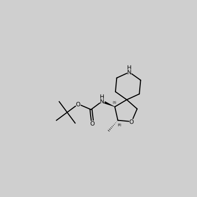 C[C@H]1OCC2(CCNCC2)[C@@H]1NC(=O)OC(C)(C)C